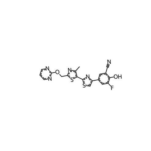 Cc1nc(COc2ncccn2)sc1-c1nc(-c2cc(F)c(O)c(C#N)c2)cs1